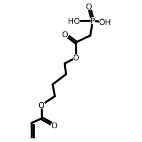 C=CC(=O)OCCCCOC(=O)CP(=O)(O)O